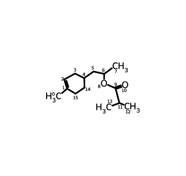 CC1=CCC(CC(C)OC(=O)C(C)C)CC1